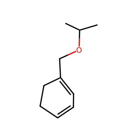 CC(C)OCC1=CC=CCC1